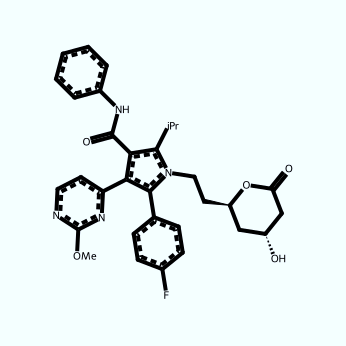 COc1nccc(-c2c(C(=O)Nc3ccccc3)c(C(C)C)n(CC[C@@H]3C[C@@H](O)CC(=O)O3)c2-c2ccc(F)cc2)n1